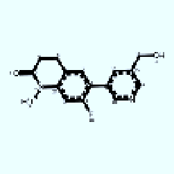 CN1C(=O)CCc2cc(-c3cncc(CO)c3)c(F)cc21